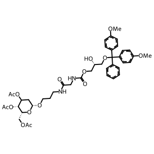 COc1ccc(C(OC[C@@H](O)COC(=O)NCC(=O)NCCCO[C@H]2CC(OC(C)=O)[C@@H](OC(C)=O)[C@@H](COC(C)=O)O2)(c2ccccc2)c2ccc(OC)cc2)cc1